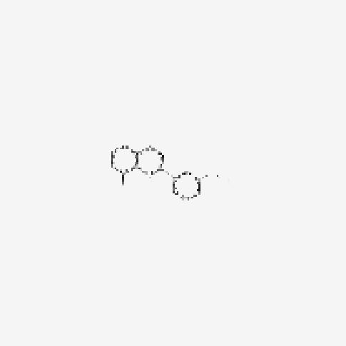 O=[N+]([O-])c1cccc2ccc(-c3cccc(OC(F)(F)F)c3)nc12